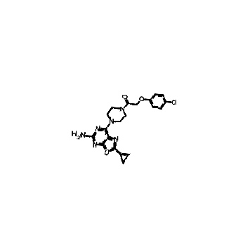 Nc1nc(N2CCN(C(=O)COc3ccc(Cl)cc3)CC2)c2nc(C3CC3)oc2n1